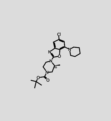 C[C@H]1CN(C(=O)OC(C)(C)C)CCN1c1nc2cc(Cl)cc(N3CCCCC3)c2o1